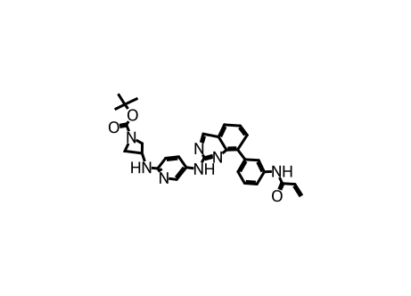 C=CC(=O)Nc1cccc(-c2cccc3cnc(Nc4ccc(NC5CN(C(=O)OC(C)(C)C)C5)nc4)nc23)c1